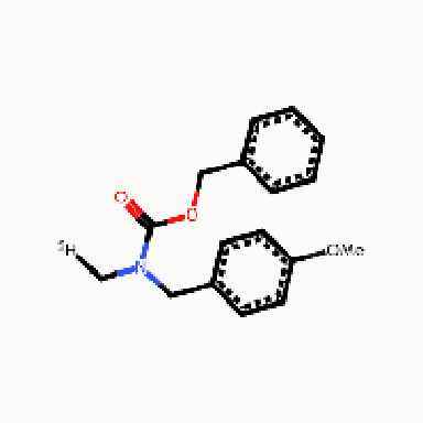 [2H]CN(Cc1ccc(OC)cc1)C(=O)OCc1ccccc1